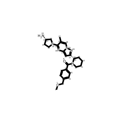 COCc1ccc(C(=O)N2CCCC[C@H]2c2cc3nc(N4CC[C@H](N)C4)c(C)cn3n2)cc1